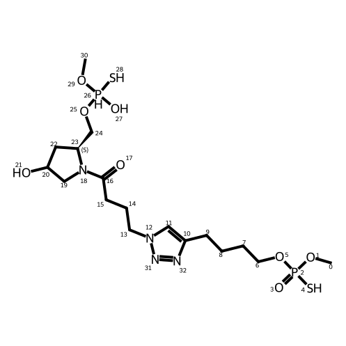 COP(=O)(S)OCCCCc1cn(CCCC(=O)N2CC(O)C[C@H]2CO[PH](O)(S)OC)nn1